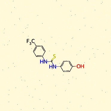 Oc1ccc(NC(=S)Nc2ccc(C(F)(F)F)cc2)cc1